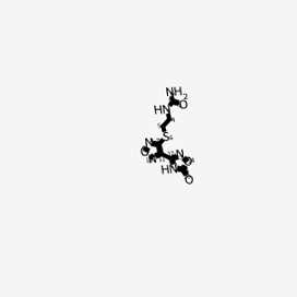 NC(=O)NCCSc1nonc1-c1noc(=O)[nH]1